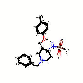 CCS(=O)(=O)N[C@@H]1CCN(Cc2ccccc2)C[C@@H]1COc1ccc(C(C)C)cc1